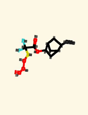 COC1CC2CC1CC2OC(=O)C(F)(F)SOOO